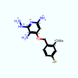 COc1cc(Br)ccc1COc1cc(N)nc(NN)c1N